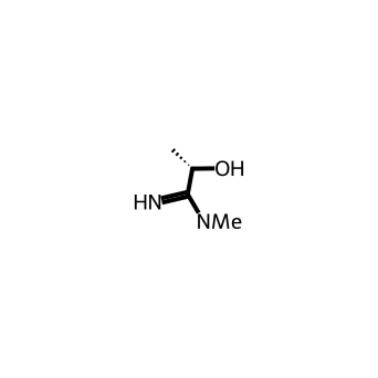 CNC(=N)[C@H](C)O